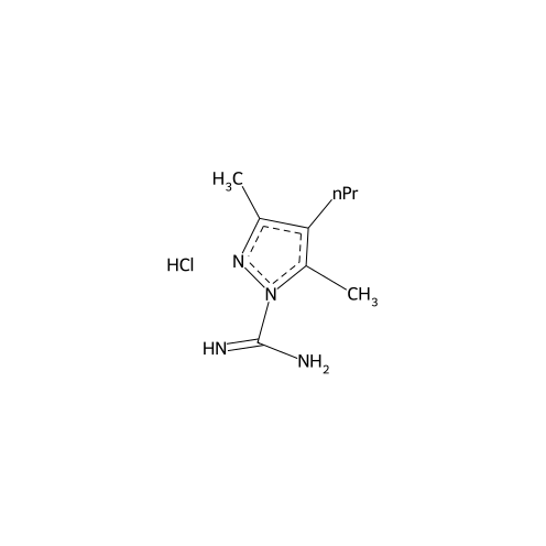 CCCc1c(C)nn(C(=N)N)c1C.Cl